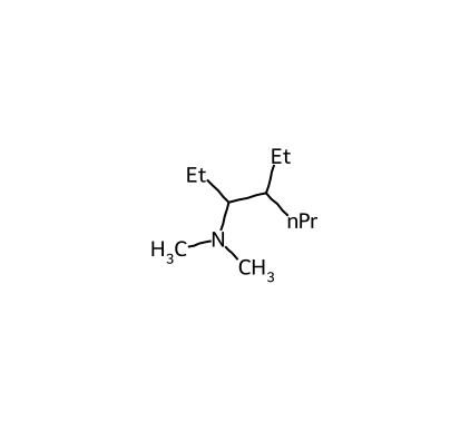 CCCC(CC)C(CC)N(C)C